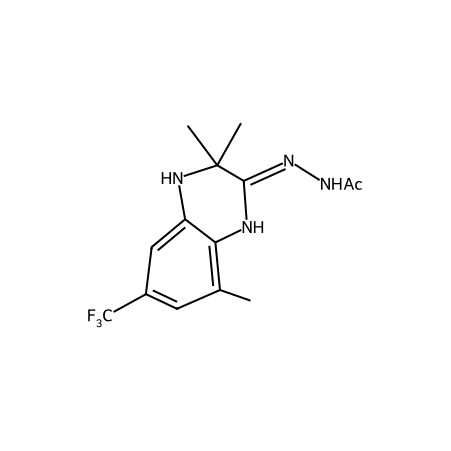 CC(=O)N/N=C1\Nc2c(C)cc(C(F)(F)F)cc2NC1(C)C